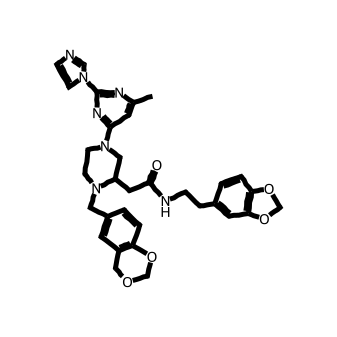 Cc1cc(N2CCN(Cc3ccc4c(c3)COCO4)C(CC(=O)NCCc3ccc4c(c3)OCO4)C2)nc(-n2ccnc2)n1